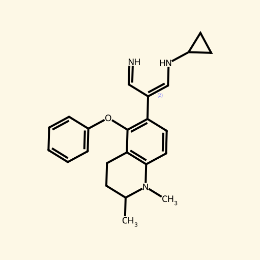 CC1CCc2c(ccc(/C(C=N)=C/NC3CC3)c2Oc2ccccc2)N1C